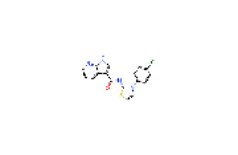 O=C(/N=c1\sccn1-c1ccc(Cl)cc1)c1c[nH]c2ncccc12